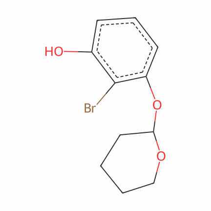 Oc1cccc(OC2CCCCO2)c1Br